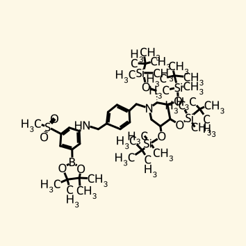 CC1(C)OB(c2cc(NCc3ccc(CN4CC(O[Si](C)(C)C(C)(C)C)C(O[Si](C)(C)C(C)(C)C)C(O[Si](C)(C)C(C)(C)C)[C@H]4CO[Si](C)(C)C(C)(C)C)cc3)cc(S(C)(=O)=O)c2)OC1(C)C